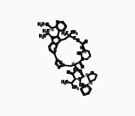 CCn1c(-c2cccnc2[C@H](C)OC)c2c3cc(ccc31)-c1csc(n1)C[C@H](NC(=O)C(C(C)C)N(C)C(=O)[C@@H]1OCC[C@@H]1c1ccccc1)C(=O)N1CCC[C@H](N1)C(=O)OCC(C)(C)C2